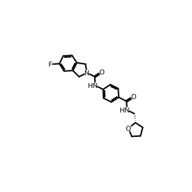 O=C(NC[C@@H]1CCCO1)c1ccc(NC(=O)N2Cc3ccc(F)cc3C2)cc1